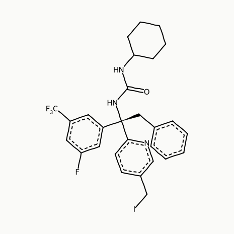 O=C(NC1CCCCC1)N[C@@](Cc1ccccc1)(c1cc(F)cc(C(F)(F)F)c1)c1ccc(CI)cn1